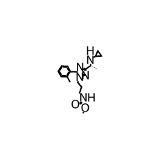 COC(=O)NCCCn1nc([C@@H](C)NC2CC2)nc1-c1ccccc1C